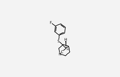 Fc1cccc(S[C@H]2CN3CCC2CC3)c1